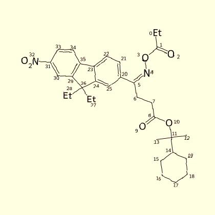 CCC(=O)O/N=C(/CCC(=O)OC(C)(C)C1CCCCC1)c1ccc2c(c1)C(CC)(CC)c1cc([N+](=O)[O-])ccc1-2